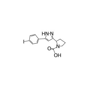 O=C(O)N1CCCC1c1cc(-c2ccc(I)cc2)[nH]n1